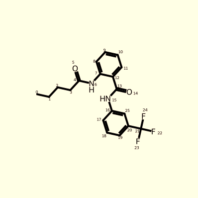 CCCCC(=O)Nc1ccccc1C(=O)Nc1cccc(C(F)(F)F)c1